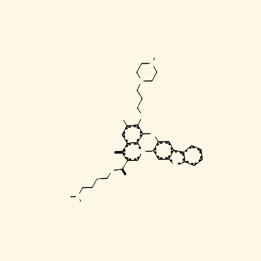 CN(C)CCCCNC(=O)c1cn2c3c(c(NCCCN4CCN(C)CC4)c(F)cc3c1=O)Oc1cc3c(cc1-2)oc1ccccc13